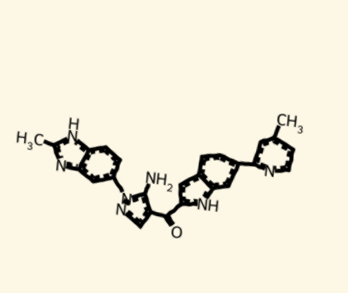 Cc1ccnc(-c2ccc3cc(C(=O)c4cnn(-c5ccc6[nH]c(C)nc6c5)c4N)[nH]c3c2)c1